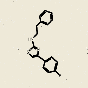 Fc1ccc(-c2csc(NCCc3ccccc3)n2)cc1